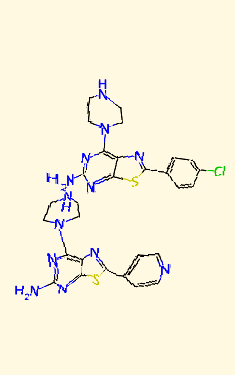 Nc1nc(N2CCNCC2)c2nc(-c3ccc(Cl)cc3)sc2n1.Nc1nc(N2CCNCC2)c2nc(-c3ccncc3)sc2n1